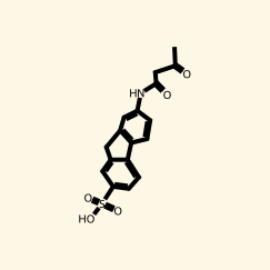 CC(=O)CC(=O)Nc1ccc2c(c1)Cc1cc(S(=O)(=O)O)ccc1-2